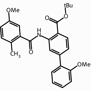 COc1ccc(C)c(C(=O)Nc2cc(-c3ccccc3OC)ccc2C(=O)OC(C)(C)C)c1